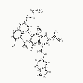 CCc1c(F)ccc2cc(OCOC)cc(-c3oc(=O)c4c(NCc5ccc6ncnn6c5)nc([S+](C)[O-])nc4c3C)c12